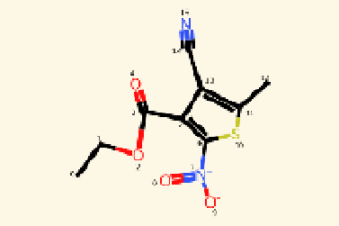 CCOC(=O)c1c([N+](=O)[O-])sc(C)c1C#N